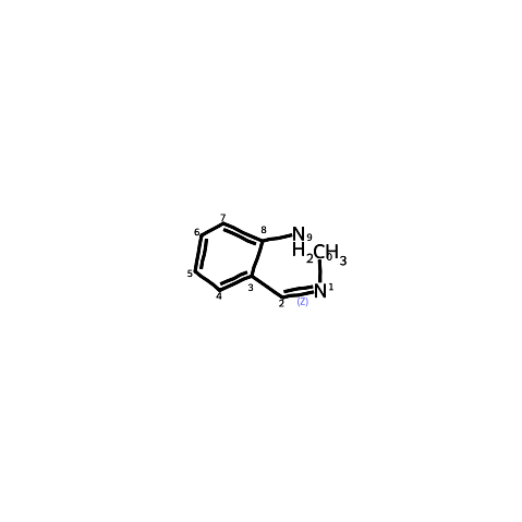 C/N=C\c1ccccc1N